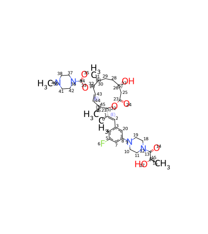 C/C(=C\c1cc(F)cc(N2CCN(C(=O)[C@@H](C)O)CC2)c1)[C@H]1OC(=O)C[C@@H](O)CC[C@@H](C)[C@@H](OC(=O)N2CCN(C)CC2)/C=C/[C@@H]1C